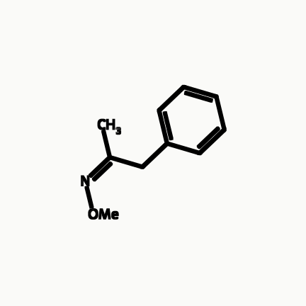 CO/N=C(/C)Cc1ccccc1